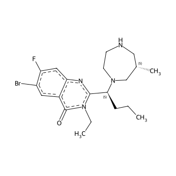 CCC[C@@H](c1nc2cc(F)c(Br)cc2c(=O)n1CC)N1CCNC[C@H](C)C1